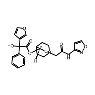 O=C(C[N+]12CCC(CC1)[C@@H](OC(=O)C(O)(c1ccccc1)c1ccoc1)C2)Nc1ccon1